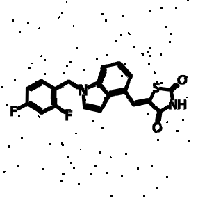 O=C1NC(=O)/C(=C/c2cccc3c2ccn3Cc2ccc(F)cc2F)S1